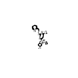 COc1ccc(CN(c2cc(OC)nc(SCc3ccccn3)n2)S(=O)(=O)N2CCC2)cc1